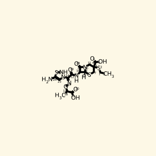 CCSC1(C(=O)O)CS[C@@H]2C(NC(=O)C(=NOC(C)C(=O)O)N3C=C(N)SN3)C(=O)N2C1